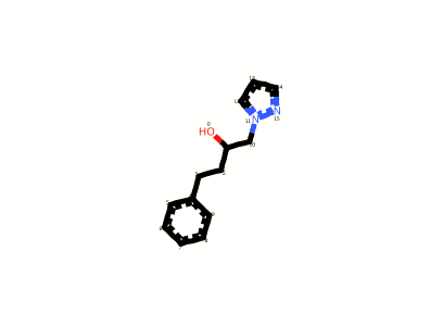 OC(CCc1ccccc1)Cn1cccn1